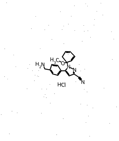 COC1(n2nc(C#N)cc2-c2ccc(CN)cc2)C=CC=CC1.Cl